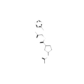 CC(=O)SC1CCC(C(=O)N[C@@H](Cc2c[nH]cn2)C(C)=O)C1